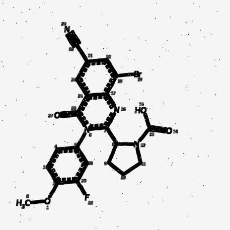 COc1ccc(-n2c(C3CCCN3C(=O)O)nc3c(Br)cc(C#N)cc3c2=O)cc1F